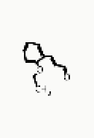 CCOc1ccccc1C=CC=O